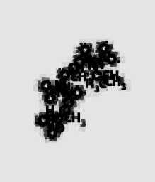 CC(C)(C)c1cccc(-c2nc(-n3c4ccccc4c4ccccc43)cc(-n3c4ccccc4c4ccc(CC(C)(C)c5cccc(-c6nc(-n7c8ccccc8c8ccccc87)nc(-n7c8ccccc8c8cc(CC(C)(C)c9cc%10c%11c(c9)Oc9ccccc9B%11c9ccccc9O%10)ccc87)n6)c5)cc43)n2)c1